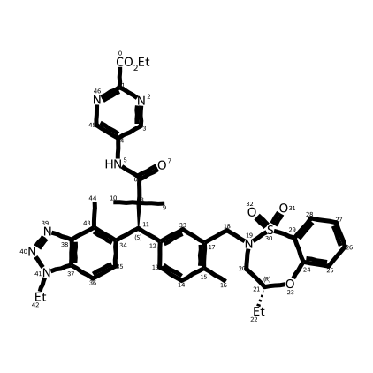 CCOC(=O)c1ncc(NC(=O)C(C)(C)[C@@H](c2ccc(C)c(CN3C[C@@H](CC)Oc4ccccc4S3(=O)=O)c2)c2ccc3c(nnn3CC)c2C)cn1